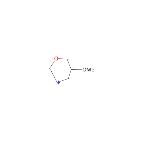 COC1C[N]COC1